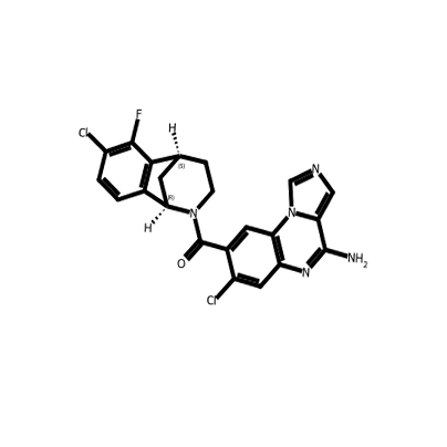 Nc1nc2cc(Cl)c(C(=O)N3CC[C@H]4C[C@@H]3c3ccc(Cl)c(F)c34)cc2n2cncc12